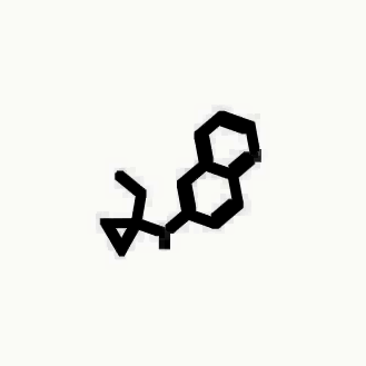 CCC1(Nc2ccc3ncccc3c2)CC1